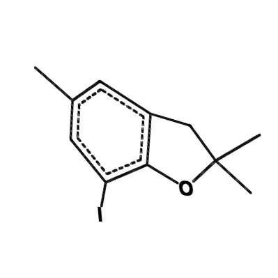 Cc1cc(I)c2c(c1)CC(C)(C)O2